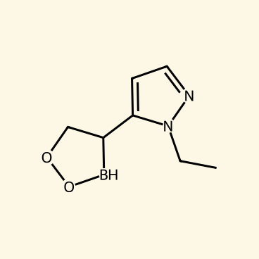 CCn1nccc1C1BOOC1